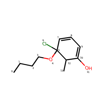 CCCCOC1(Cl)C=CC=C(O)C1C